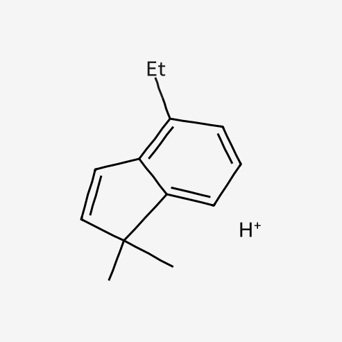 CCc1cccc2c1C=CC2(C)C.[H+]